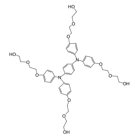 OCCOCCOc1ccc(N(c2ccc(OCCOCCO)cc2)c2ccc(N(c3ccc(OCCOCCO)cc3)c3ccc(OCCOCCO)cc3)cc2)cc1